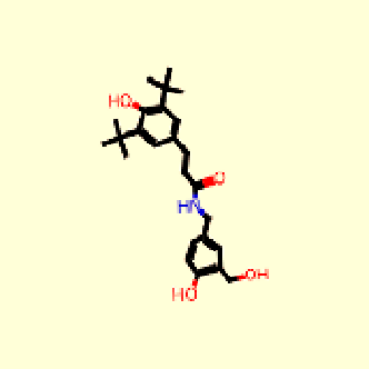 CC(C)(C)c1cc(CCC(=O)NCc2ccc(O)c(CO)c2)cc(C(C)(C)C)c1O